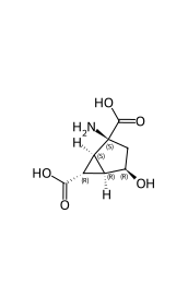 N[C@@]1(C(=O)O)C[C@@H](O)[C@H]2[C@H](C(=O)O)[C@H]21